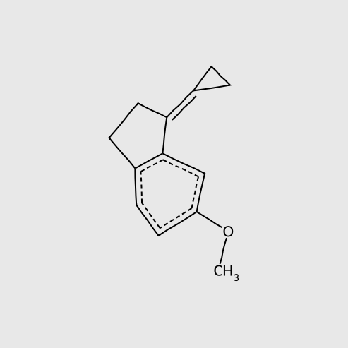 COc1ccc2c(c1)C(=C1CC1)CC2